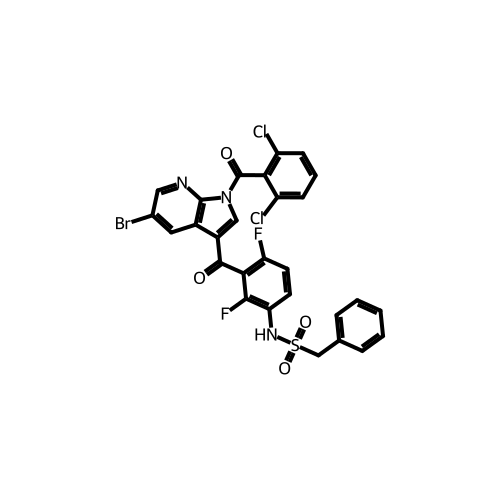 O=C(c1c(F)ccc(NS(=O)(=O)Cc2ccccc2)c1F)c1cn(C(=O)c2c(Cl)cccc2Cl)c2ncc(Br)cc12